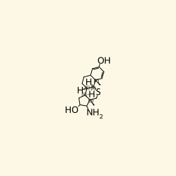 C[C@]12C=CC(O)=CC1CC[C@@H]1[C@H]2SC[C@]2(C)C(N)C(O)C[C@@H]12